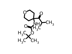 CC(C)C(=O)C1(NC(=O)OC(C)(C)C)CCOCC1